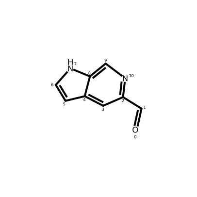 O=Cc1cc2cc[nH]c2cn1